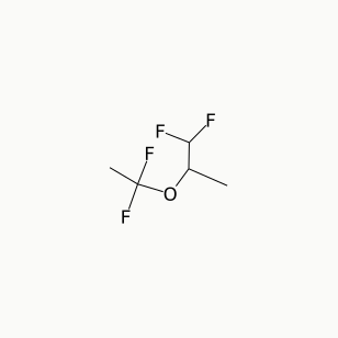 CC(OC(C)(F)F)C(F)F